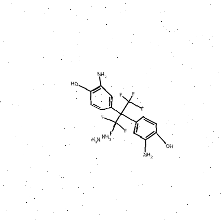 N.N.Nc1cc(C(c2ccc(O)c(N)c2)(C(F)(F)F)C(F)(F)F)ccc1O